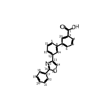 O=C(O)c1cccc(-c2cccc(-c3coc(-c4ccccc4)n3)c2)c1